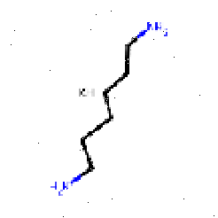 NCCCCCCN.[KH]